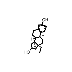 CC[C@]12CC[C@]3(C)c4ccc(O)cc4CC[C@H]3[C@@H]1C[C@H](O)C2